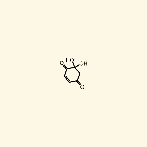 O=C1C=CC(=O)C(O)(O)C1